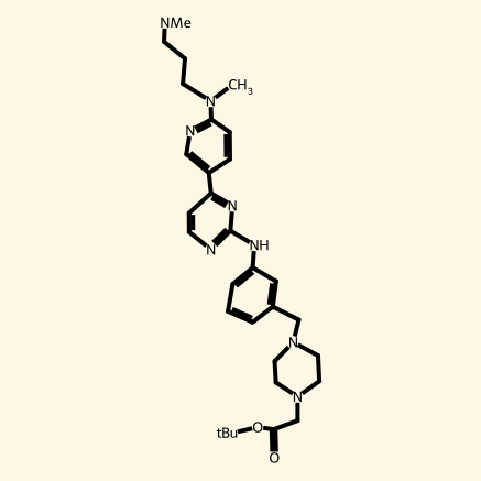 CNCCCN(C)c1ccc(-c2ccnc(Nc3cccc(CN4CCN(CC(=O)OC(C)(C)C)CC4)c3)n2)cn1